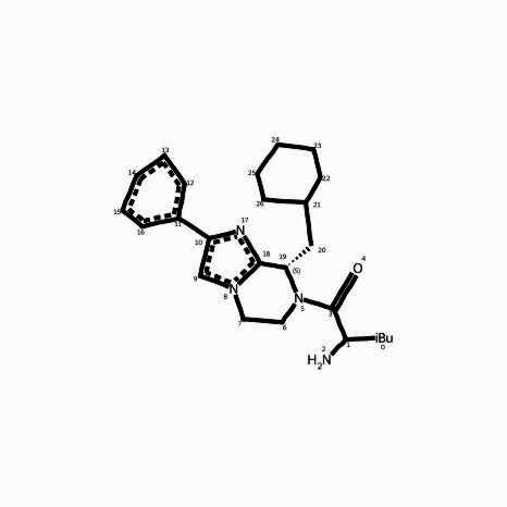 CCC(C)C(N)C(=O)N1CCn2cc(-c3ccccc3)nc2[C@@H]1CC1CCCCC1